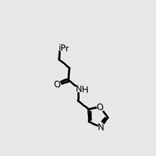 CC(C)CCC(=O)NCc1cnco1